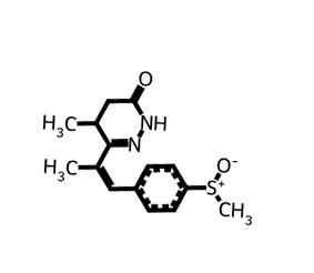 CC(=Cc1ccc([S+](C)[O-])cc1)C1=NNC(=O)CC1C